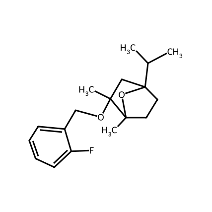 CC(C)C12CCC(C)(O1)C(C)(OCc1ccccc1F)C2